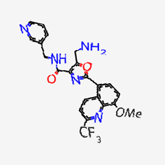 COc1ccc(-c2nc(C(=O)NCc3cccnc3)c(CN)o2)c2ccc(C(F)(F)F)nc12